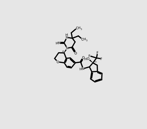 CCC1(CC)CC(=O)N([C@@H]2CCOc3ccc(C(=O)NC4c5ccccc5C[C@@]4(O)C(F)(F)F)cc32)C(=N)N1